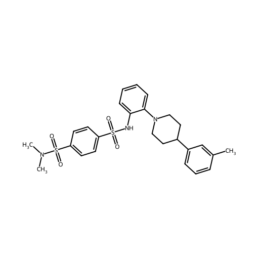 Cc1cccc(C2CCN(c3ccccc3NS(=O)(=O)c3ccc(S(=O)(=O)N(C)C)cc3)CC2)c1